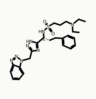 CCN(CC)CCCS(=O)(=O)N[C@H](CCc1ccccc1)c1nc(Cn2nnc3ccccc32)n[nH]1